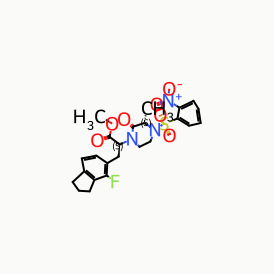 COC(=O)[C@H](Cc1ccc2c(c1F)CCC2)N1CCN(S(=O)(=O)c2ccccc2[N+](=O)[O-])[C@@H](C)C1=O